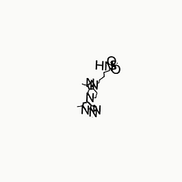 Cc1cc(N2CCc3c(c(C)nn3CCCCCNS(C)(=O)=O)C2)c2cnn(C)c2n1